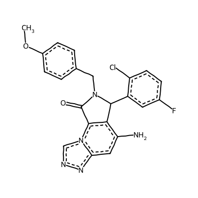 COc1ccc(CN2C(=O)c3c(c(N)cc4nncn34)C2c2cc(F)ccc2Cl)cc1